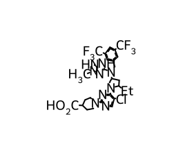 CCC1CC(N(Cc2cc(C(F)(F)F)cc(C(F)(F)F)c2)C2=NN(C)NN2)CN1c1nc(N2CCC(C(=O)O)CC2)ncc1Cl